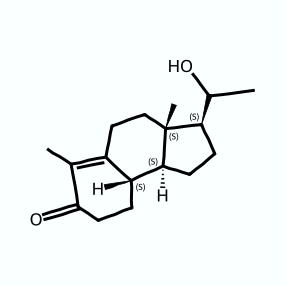 CC1=C2CC[C@]3(C)[C@@H](C(C)O)CC[C@H]3[C@@H]2CCC1=O